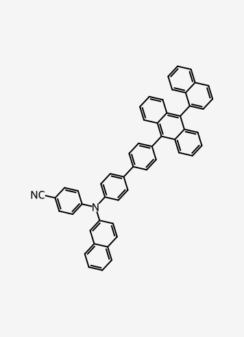 N#Cc1ccc(N(c2ccc(-c3ccc(-c4c5ccccc5c(-c5cccc6ccccc56)c5ccccc45)cc3)cc2)c2ccc3ccccc3c2)cc1